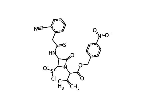 C=C(C)C(C(=O)OCc1ccc([N+](=O)[O-])cc1)N1C(=O)C(NC(=S)Cc2ccccc2C#N)C1[S+]([O-])Cl